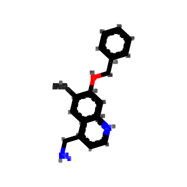 COc1cc2c(CN)ccnc2cc1OCc1ccccc1